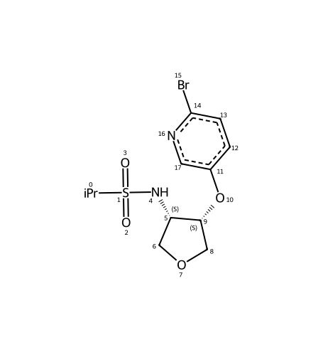 CC(C)S(=O)(=O)N[C@H]1COC[C@H]1Oc1ccc(Br)nc1